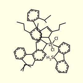 CCCC1=Cc2c(ccc(CCC)c2-c2ccccc2C(C)C)[CH]1[Zr]([Cl])([Cl])([c]1cccc2c1[SiH2]c1ccccc1-2)[CH]1C(CCC)=Cc2c1ccc(CCC)c2-c1ccccc1C(C)C